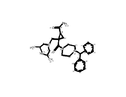 CC1CN(CC2(C(=O)N3CCN(C(c4ccccc4)c4ccccc4)CC3)CC2C(N)=O)CC(C)N1